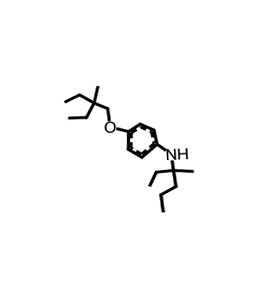 CCCC(C)(CC)Nc1ccc(OCC(C)(CC)CC)cc1